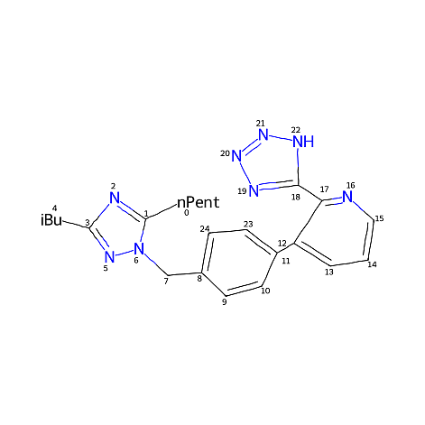 CCCCCc1nc(C(C)CC)nn1Cc1ccc(-c2cccnc2-c2nnn[nH]2)cc1